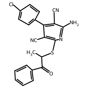 CC(Sc1nc(N)c(C#N)c(-c2ccc(Cl)cc2)c1C#N)C(=O)c1ccccc1